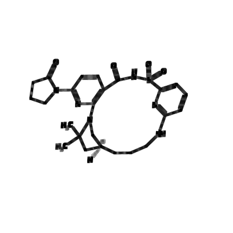 CC1(C)C[C@@H]2CCCNc3cccc(n3)S(=O)(=O)NC(=O)c3ccc(N4CCCC4=O)nc3N1C2